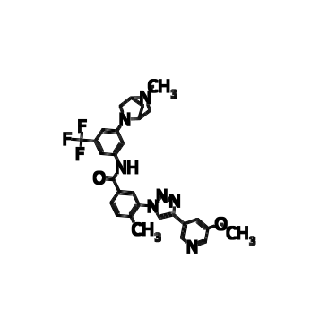 COc1cncc(-c2cn(-c3cc(C(=O)Nc4cc(N5CC6CC5CN6C)cc(C(F)(F)F)c4)ccc3C)nn2)c1